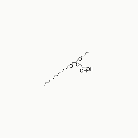 CCCCCCCCCCCCOCC(COCCCC)OCC(O)CO